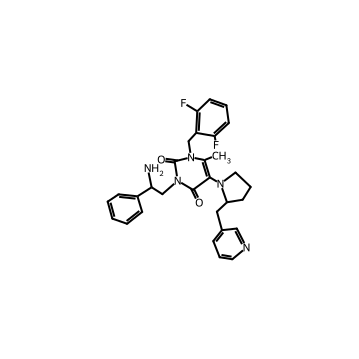 Cc1c(N2CCCC2Cc2cccnc2)c(=O)n(CC(N)c2ccccc2)c(=O)n1Cc1c(F)cccc1F